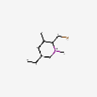 CCC1CC(C)C(CS)P(C)C1